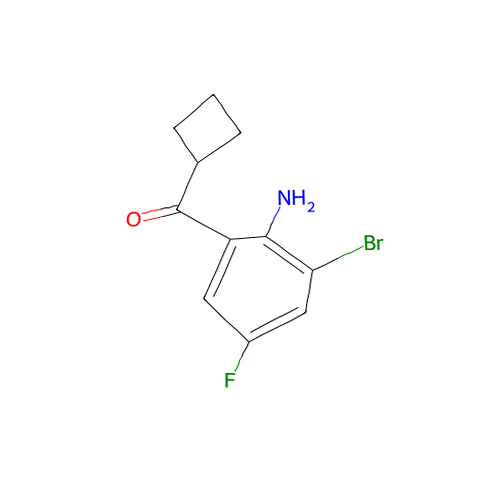 Nc1c(Br)cc(F)cc1C(=O)C1CCC1